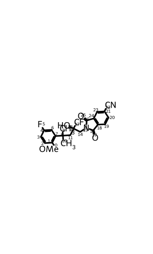 COc1ccc(F)cc1C(C)(C)CC(O)(CN1C(=O)c2ccc(C#N)cc2C1=O)C(F)(F)F